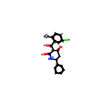 O=C1CC(c2ccccc2)NC(=O)C1C(=O)c1cc(Cl)ccc1[N+](=O)[O-]